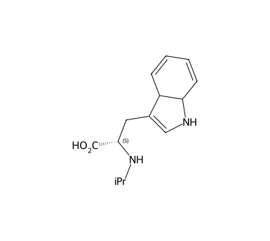 CC(C)N[C@@H](CC1=CNC2C=CC=CC12)C(=O)O